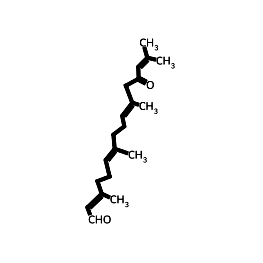 CC(C)=CC(=O)C/C(C)=C/CC/C(C)=C/CC/C(C)=C/C=O